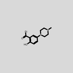 CCC(=O)c1cc(N2CCN(C)CC2)ccc1O